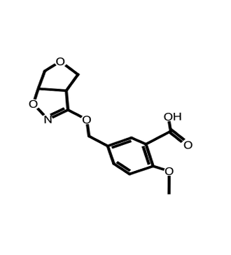 COc1ccc(COC2=NOC3COCC23)cc1C(=O)O